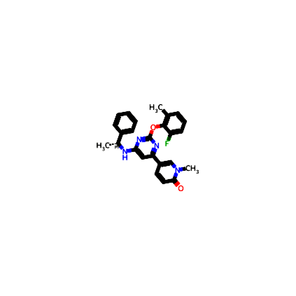 Cc1cccc(F)c1Oc1nc(N[C@H](C)c2ccccc2)cc(-c2ccc(=O)n(C)c2)n1